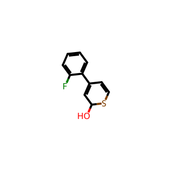 OC1C=C(c2ccccc2F)C=CS1